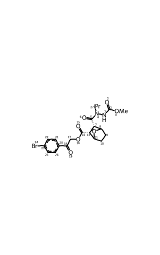 COC(=O)NN(C(=O)[C@@H]1C2CCC(O2)[C@@H]1C(=O)OCC(=O)c1ccc(Br)cc1)C(C)C